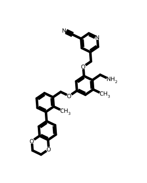 Cc1cc(OCc2cccc(-c3ccc4c(c3)OCCO4)c2C)cc(OCc2cncc(C#N)c2)c1CN